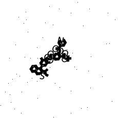 Cc1cc(-c2c3ccccc3cc3sc(C)c(C)c23)cc(C)c1OS(=O)(=O)c1ccc(C(=O)OC(C)(C)C)c(OC(=O)c2cccnc2)c1